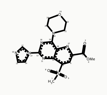 COC(=O)c1cc(S(C)(=O)=O)c2nc(-n3ccnc3)nc(N3CCOCC3)c2n1